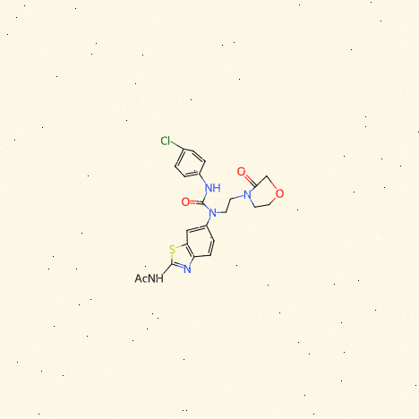 CC(=O)Nc1nc2ccc(N(CCN3CCOCC3=O)C(=O)Nc3ccc(Cl)cc3)cc2s1